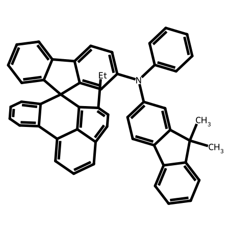 CCc1ccc2cccc3c2c1C1(c2ccccc2-c2ccc(N(c4ccccc4)c4ccc5c(c4)C(C)(C)c4ccccc4-5)cc21)c1ccccc1-3